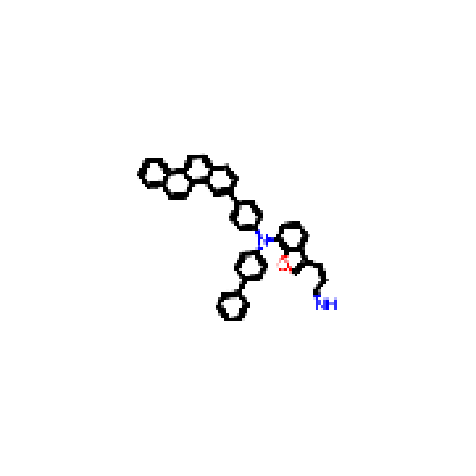 N=C/C=C\c1coc2c(N(c3ccc(-c4ccccc4)cc3)c3ccc(-c4ccc5ccc6c7ccccc7ccc6c5c4)cc3)cccc12